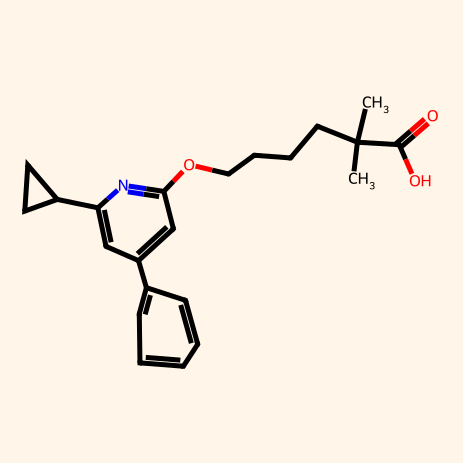 CC(C)(CCCCOc1cc(-c2ccccc2)cc(C2CC2)n1)C(=O)O